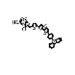 O=C(O)CN1C(=O)/C(=C/c2ccc(-c3cc4sc5cc(-c6ccc(N7c8ccccc8C8C9CCC(C9)C87)cc6)sc5c4s3)s2)SC1=S